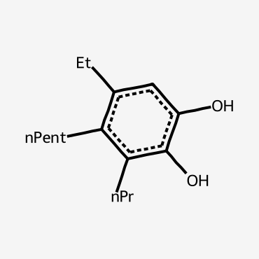 CCCCCc1c(CC)cc(O)c(O)c1CCC